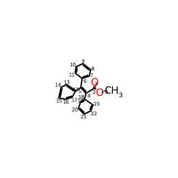 COC(=O)C(=C(c1ccccc1)c1ccccc1)c1ccccc1